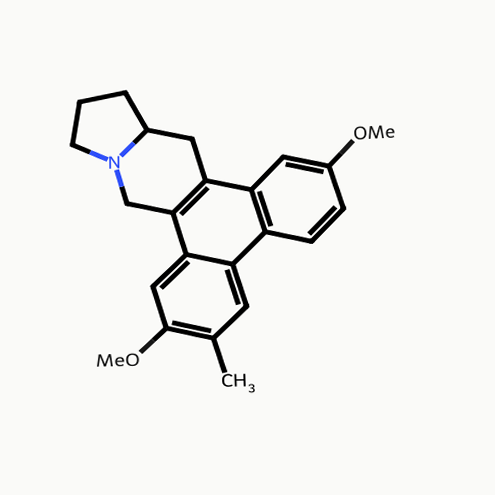 COc1ccc2c(c1)c1c(c3cc(OC)c(C)cc32)CN2CCCC2C1